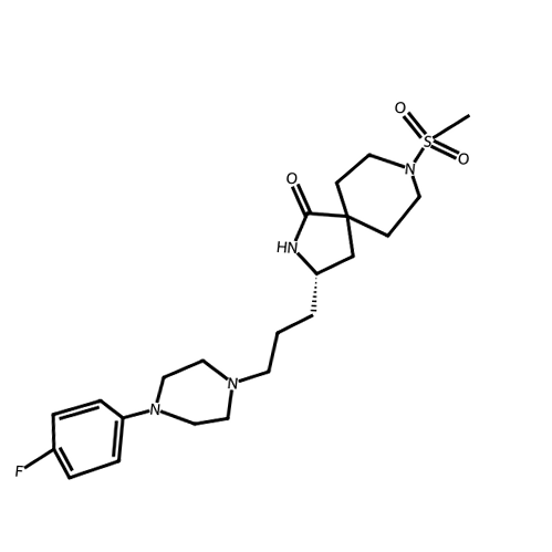 CS(=O)(=O)N1CCC2(CC1)C[C@H](CCCN1CCN(c3ccc(F)cc3)CC1)NC2=O